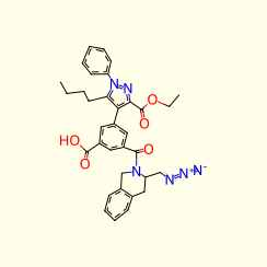 CCCCc1c(-c2cc(C(=O)O)cc(C(=O)N3Cc4ccccc4CC3CN=[N+]=[N-])c2)c(C(=O)OCC)nn1-c1ccccc1